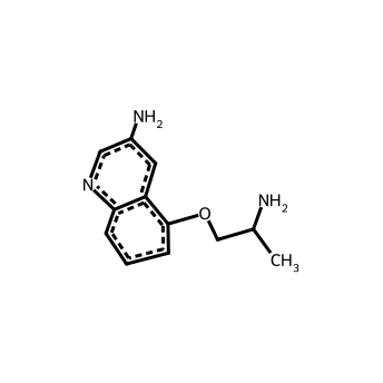 CC(N)COc1cccc2ncc(N)cc12